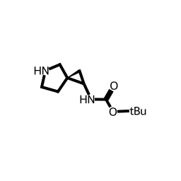 CC(C)(C)OC(=O)NC1C[C@]12CCNC2